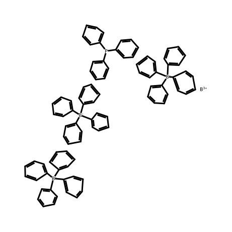 [B+3].c1ccc(P(c2ccccc2)c2ccccc2)cc1.c1ccc([B-](c2ccccc2)(c2ccccc2)c2ccccc2)cc1.c1ccc([B-](c2ccccc2)(c2ccccc2)c2ccccc2)cc1.c1ccc([B-](c2ccccc2)(c2ccccc2)c2ccccc2)cc1